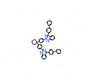 c1ccc(-c2ccc(-c3nc(-c4ccc(C5(c6ccc(-c7nc(-c8ccc(-c9ccccc9)cc8)c8ccccc8n7)cc6)CCCCC5)cc4)nc4ccccc34)cc2)cc1